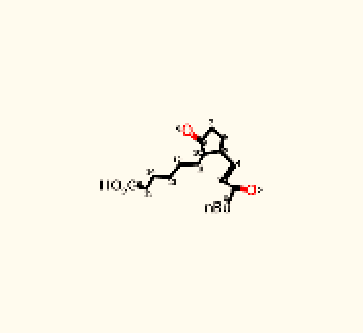 CCCCC(=O)/C=C/C1CCC(=O)C1CCCCCC(=O)O